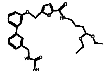 CCOC(CCCNC(=O)c1ccc(COc2cccc(-c3cccc(CNC(=O)O)c3)c2)o1)OCC